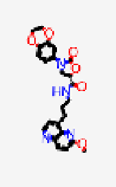 COc1ccc2nccc(CCCNC(=O)[C@@H]3CN(c4ccc5c(c4)OCCO5)C(=O)O3)c2n1